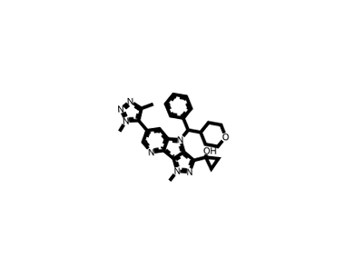 Cc1nnn(C)c1-c1cnc2c3c(c(C4(O)CC4)nn3C)n(C(c3ccccc3)C3CCOCC3)c2c1